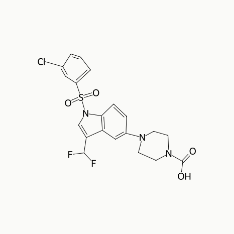 O=C(O)N1CCN(c2ccc3c(c2)c(C(F)F)cn3S(=O)(=O)c2cccc(Cl)c2)CC1